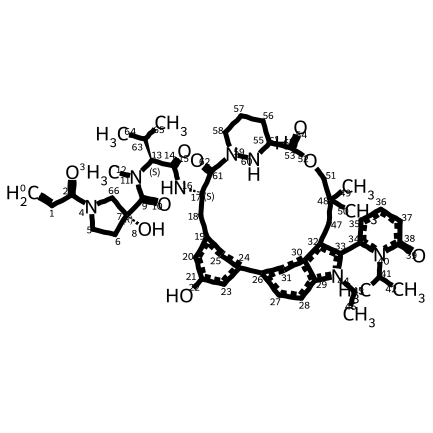 C=CC(=O)N1CC[C@](O)(C(=O)N(C)[C@H](C(=O)N[C@H]2Cc3cc(O)cc(c3)-c3ccc4c(c3)c(c(-c3cccc(=O)n3C(C)C)n4CC)CC(C)(C)COC(=O)[C@@H]3CCCN(N3)C2=O)C(C)C)C1